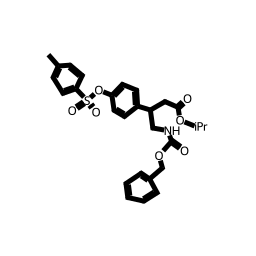 Cc1ccc(S(=O)(=O)Oc2ccc(C(CNC(=O)OCc3ccccc3)CC(=O)OC(C)C)cc2)cc1